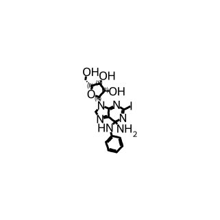 NC1(Nc2ccccc2)N=C(I)N=C2C1=NCN2[C@@H]1O[C@H](CO)[C@@H](O)[C@H]1O